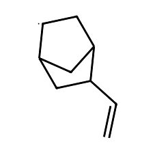 C=CC1CC2[CH]CC1C2